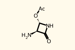 CC(=O)O[C@@H]1NC(=O)[C@H]1N